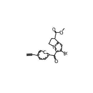 C#Cc1ccc(C(=O)c2c(Br)cc3n2CCC3C(=O)OC)cc1